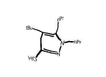 CCCc1c(C(C)(C)C)c(O)nn1CCC